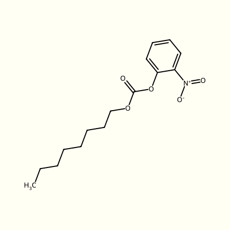 CCCCCCCCOC(=O)Oc1ccccc1[N+](=O)[O-]